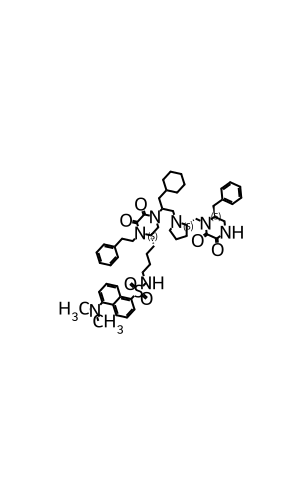 CN(C)c1cccc2c(S(=O)(=O)NCCCC[C@H]3CN(C(CC4CCCCC4)CN4CCC[C@H]4CN4C(=O)C(=O)NC[C@@H]4Cc4ccccc4)C(=O)C(=O)N3CCc3ccccc3)cccc12